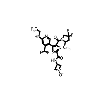 CC1CC(F)(F)CN1C(=O)c1nc(C(=O)NC2C[S+]([O-])C2)sc1-c1cnc(NCC(F)(F)F)cc1C(F)F